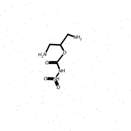 NCC(CN)OC(=O)N[SH](=O)=O